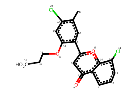 Cc1cc(-c2cc(=O)c3cccc(Cl)c3o2)c(OCCC(=O)O)cc1Cl